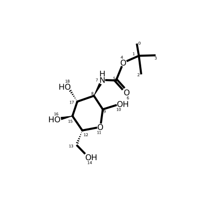 CC(C)(C)OC(=O)N[C@H]1C(O)O[C@H](CO)[C@@H](O)[C@@H]1O